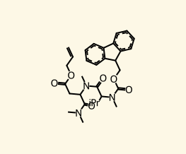 C=CCOC(=O)CC(C(=O)N(C)C)N(C)C(=O)C(C(C)C)N(C)C(=O)OCC1c2ccccc2-c2ccccc21